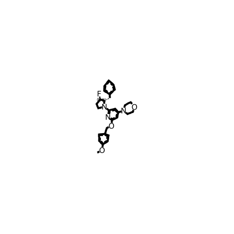 COc1ccc(COc2cc(N3CCOCC3)cc(N3CC[C@@H](F)[C@@H]3Cc3ccccc3)n2)cc1